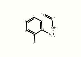 Cc1cccc[c]1[AlH2].O=PO